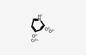 [Cr+5].[O-2].[O-2].[O-2].c1cc[nH+]cc1